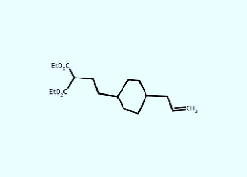 C=CCC1CCC(CCC(C(=O)OCC)C(=O)OCC)CC1